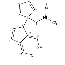 [Cl][Hf]([Cl])[CH2]C1(C2C=Cc3ccccc32)C=CC=C1